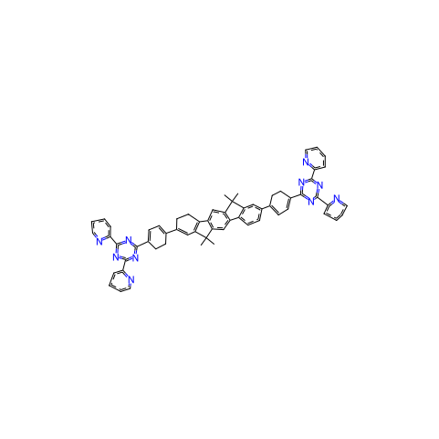 CC1(C)C2=C(CCC(C3=CC=C(c4nc(-c5ccccn5)nc(-c5ccccn5)n4)CC3)=C2)c2cc3c(cc21)-c1ccc(C2=CC=C(c4nc(-c5ccccn5)nc(-c5ccccn5)n4)CC2)cc1C3(C)C